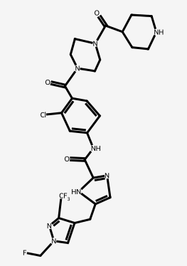 O=C(Nc1ccc(C(=O)N2CCN(C(=O)C3CCNCC3)CC2)c(Cl)c1)c1ncc(Cc2cn(CF)nc2C(F)(F)F)[nH]1